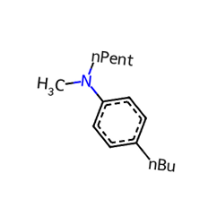 CCCCCN(C)c1ccc(CCCC)cc1